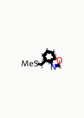 CSCc1cccc2ocnc12